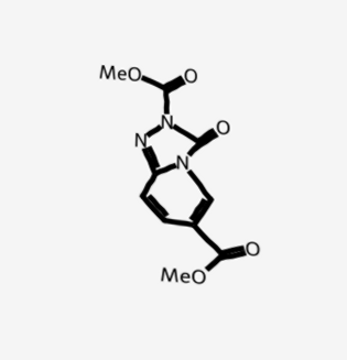 COC(=O)c1ccc2nn(C(=O)OC)c(=O)n2c1